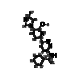 COc1nc(-c2ccc(NC(C)c3ccccc3)nn2)ccc1-n1cnc(C)c1